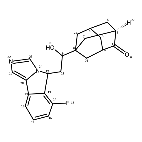 O=C1C2CC3C[C@@H]1CC(C(O)CC1c4c(F)cccc4-c4cncn41)(C3)C2